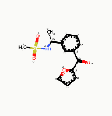 C[C@@H](NS(C)(=O)=O)c1cccc(C(=O)c2ccco2)c1